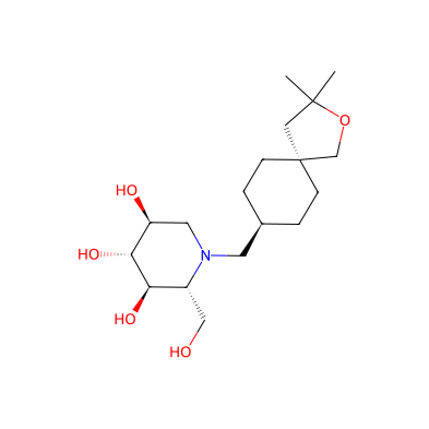 CC1(C)C[C@]2(CC[C@H](CN3C[C@H](O)[C@@H](O)[C@H](O)[C@H]3CO)CC2)CO1